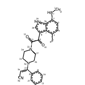 CBc1ccc(F)c2c(C(=O)C(=O)N3CCN(/C(=C/C#N)c4ccccc4)CC3)c[nH]c12